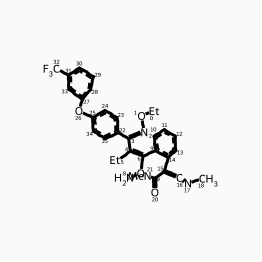 CCON=C(C(CC)=C(ON)c1ccccc1C(=C=NC)C(=O)NC)c1ccc(Oc2cccc(C(F)(F)F)c2)cc1